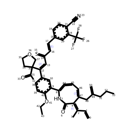 C=C/C(C)=C1C(=O)NC(c2cc(/C(=C/C(=S)/C=C/c3ccc(C#N)c(C(F)(F)F)c3)C3(C(C)=O)CCOC3)ccc2OCC)=C=C\C=C/1CC(=C)CCC